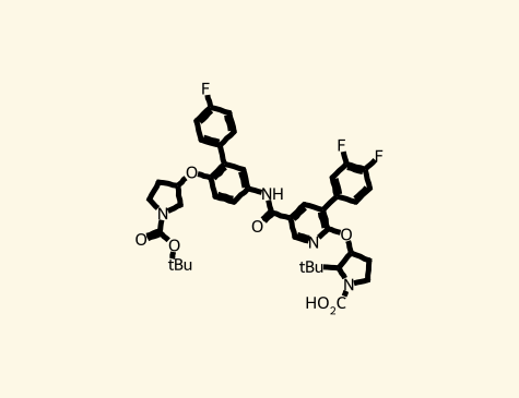 CC(C)(C)OC(=O)N1CCC(Oc2ccc(NC(=O)c3cnc(OC4CCN(C(=O)O)C4C(C)(C)C)c(-c4ccc(F)c(F)c4)c3)cc2-c2ccc(F)cc2)C1